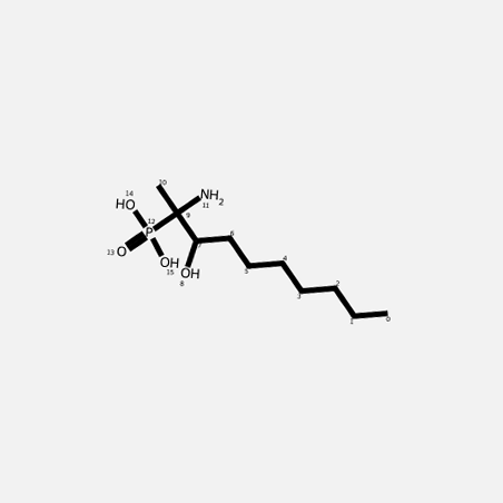 CCCCCCCC(O)C(C)(N)P(=O)(O)O